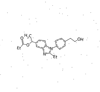 CCC(=O)OC(C)c1ccc2c(c1)nc(CC)n2-c1ccc(CCO)cc1